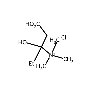 CCC(O)(CC(=O)O)[N+](C)(C)C.[Cl-]